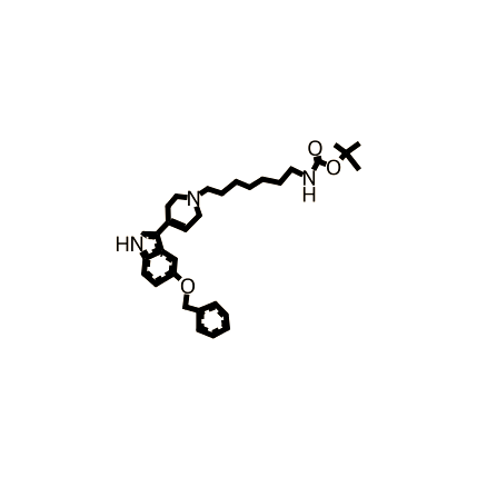 CC(C)(C)OC(=O)NCCCCCCCN1CC=C(c2c[nH]c3ccc(OCc4ccccc4)cc23)CC1